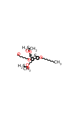 C=C(C)C(=O)OCCCc1cc(-c2ccc(OCCCCCCCCCC)cc2C)cc(CCCOC(=O)C(=C)C)c1OCCCCCCC1CO1